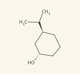 CC(C)[C@H]1CCC[C@H](O)C1